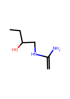 C=C(N)NCC(O)CC